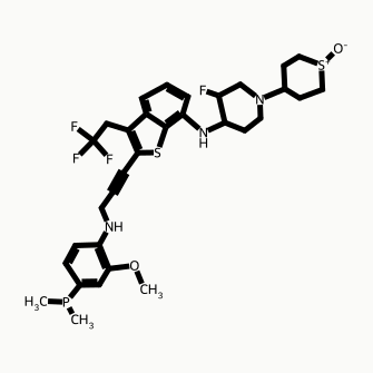 COc1cc(P(C)C)ccc1NCC#Cc1sc2c(NC3CCN(C4CC[S+]([O-])CC4)CC3F)cccc2c1CC(F)(F)F